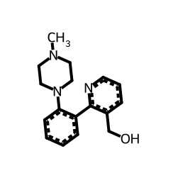 CN1CCN(c2ccccc2-c2ncccc2CO)CC1